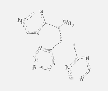 NC(c1ncncn1)C(Cc1ncncn1)c1ncncn1